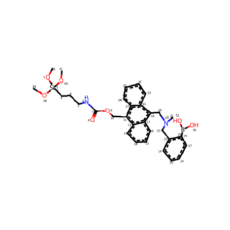 CO[Si](CCCNC(=O)OCc1c2ccccc2c(CN(C)Cc2ccccc2B(O)O)c2ccccc12)(OC)OC